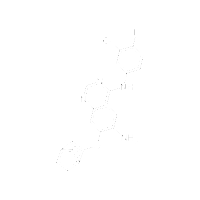 Nc1cc2c(Nc3ccc(F)c(Cl)c3)ncnc2cc1Oc1cc2ccc1o2